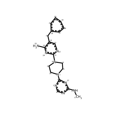 CNc1ncnc(N2CCN(c3ncc(Cc4ccccc4)c(N)n3)CC2)n1